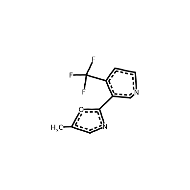 Cc1cnc(-c2cnccc2C(F)(F)F)o1